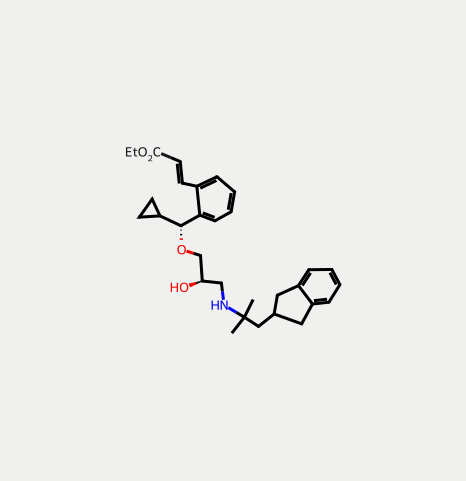 CCOC(=O)/C=C/c1ccccc1[C@H](OC[C@H](O)CNC(C)(C)CC1Cc2ccccc2C1)C1CC1